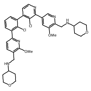 COc1cc(-c2nccc(-c3cccc(-c4ccc(CNC5CCOCC5)c(OC)n4)c3Cl)c2Cl)cnc1CNC1CCOCC1